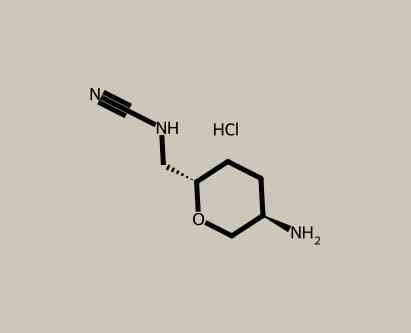 Cl.N#CNC[C@@H]1CC[C@@H](N)CO1